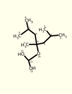 CC(C)CC(C)(CC(C)C)OC(O)O